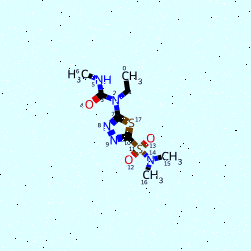 CCN(C(=O)NC)c1nnc(S(=O)(=O)N(C)C)s1